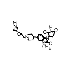 Cn1c(=O)n(C2CCC(=O)NC2=O)c2ccc(C3CCN(CCOC4CNC4)CC3)cc21